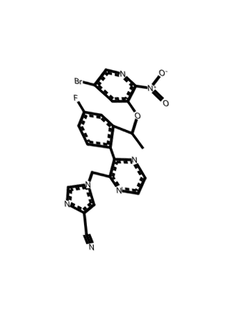 CC(Oc1cc(Br)cnc1[N+](=O)[O-])c1cc(F)ccc1-c1nccnc1Cn1cnc(C#N)c1